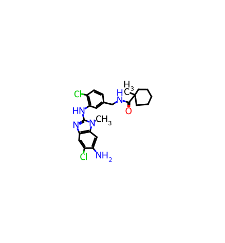 Cn1c(Nc2cc(CNC(=O)C3(C)CCCCC3)ccc2Cl)nc2cc(Cl)c(N)cc21